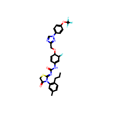 CCCc1ccc(C)cc1N1C(=O)CS/C1=N\C(=O)NC1=CC(F)C(OCc2ncn(-c3ccc(OC(F)(F)F)cc3)n2)C=C1